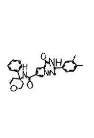 Cc1ccc(-c2nn3cc(C(=O)NC4(c5ccccc5)CCOCC4)cc3c(=O)[nH]2)cc1C